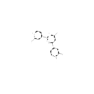 Cc1cc(-c2ccc(Cl)c(Cl)c2)nc(-c2ccnc(Cl)c2)n1